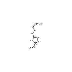 C=CN1C=CN(CCCCCCCC)C1